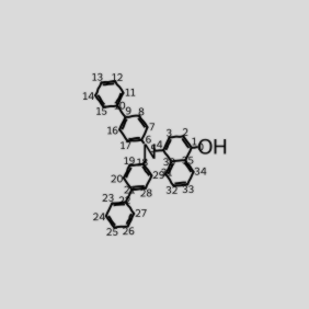 Oc1ccc(N(c2ccc(-c3ccccc3)cc2)c2ccc(-c3ccccc3)cc2)c2ccccc12